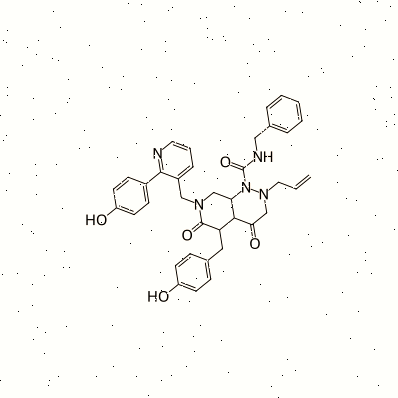 C=CCN1CC(=O)C2C(Cc3ccc(O)cc3)C(=O)N(Cc3cccnc3-c3ccc(O)cc3)CC2N1C(=O)NCc1ccccc1